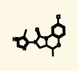 Cc1[nH]cnc1N1CC2C(C)Oc3ccc(Cl)cc3N2C1=O